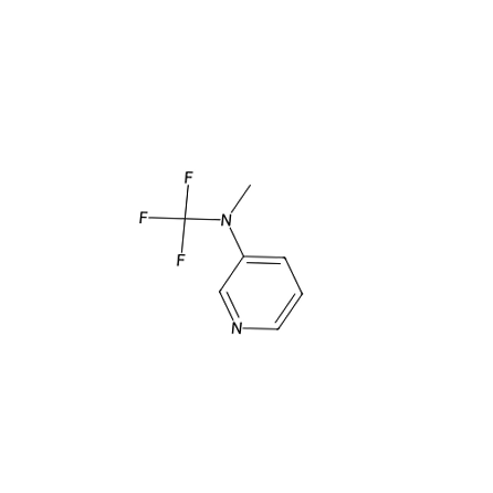 CN(c1cccnc1)C(F)(F)F